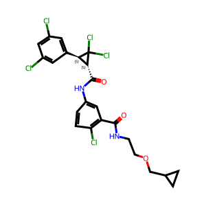 O=C(NCCOCC1CC1)c1cc(NC(=O)[C@@H]2[C@@H](c3cc(Cl)cc(Cl)c3)C2(Cl)Cl)ccc1Cl